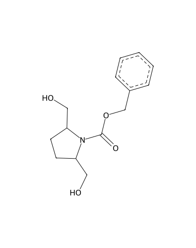 O=C(OCc1ccccc1)N1C(CO)CCC1CO